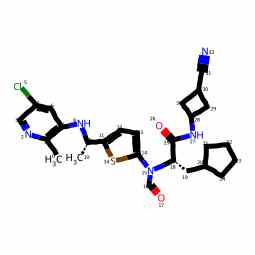 Cc1ncc(Cl)cc1N[C@@H](C)c1ccc(N(C=O)[C@@H](CC2CCCC2)C(=O)NC2CC(C#N)C2)s1